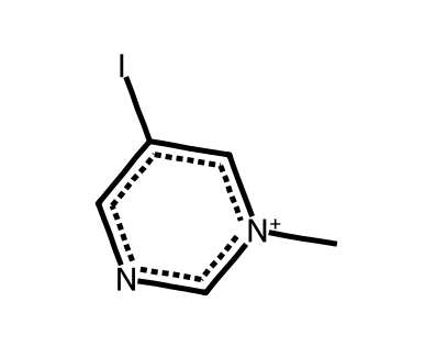 C[n+]1cncc(I)c1